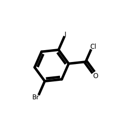 O=C(Cl)c1cc(Br)ccc1I